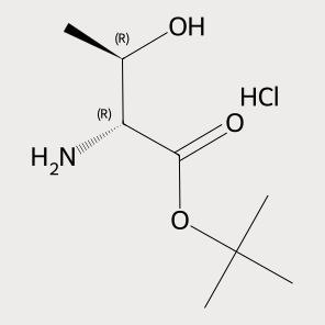 C[C@@H](O)[C@@H](N)C(=O)OC(C)(C)C.Cl